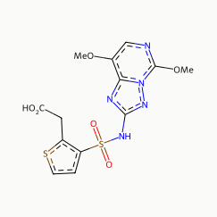 COc1cnc(OC)n2nc(NS(=O)(=O)c3ccsc3CC(=O)O)nc12